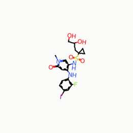 Cn1cc(NS(=O)(=O)C2(CC(O)CO)CC2)c(Nc2ccc(I)cc2F)cc1=O